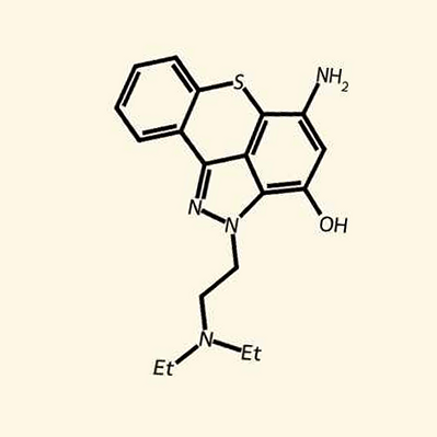 CCN(CC)CCn1nc2c3c(c(N)cc(O)c31)Sc1ccccc1-2